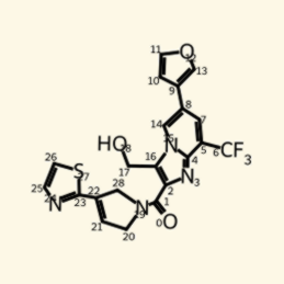 O=C(c1nc2c(C(F)(F)F)cc(-c3ccoc3)cn2c1CO)N1CC=C(c2nccs2)C1